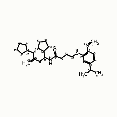 C=Nc1ccc(C(C)C)cc1SCCCC(=O)NC(CC(=C)CN1CCCC1)C1CCCC1